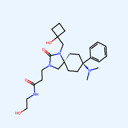 CN(C)[C@]1(c2ccccc2)CC[C@]2(CC1)CN(CCC(=O)NCCO)C(=O)N2CC1(O)CCC1